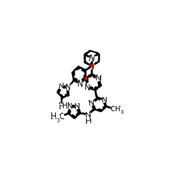 Cc1cc(Nc2cc(C)[nH]n2)nc(-c2cnc(N3CC4CC(C3)N4Cc3ccc(-n4cc(F)cn4)nc3)cn2)n1